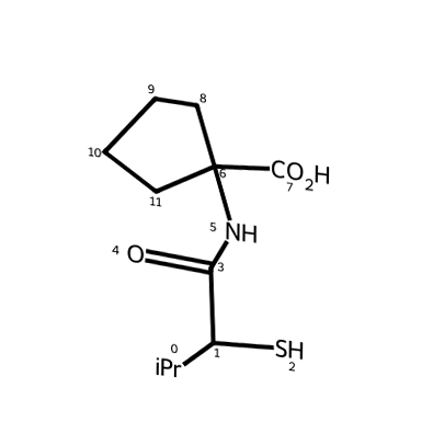 CC(C)C(S)C(=O)NC1(C(=O)O)CCCC1